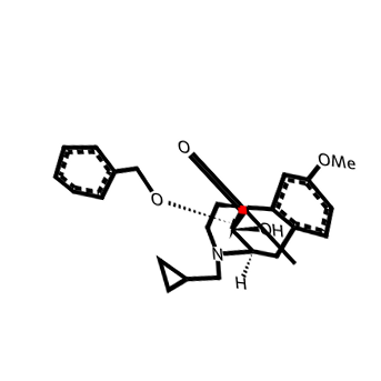 COc1ccc2c(c1)[C@]13CCN(CC4CC4)[C@H](C2)[C@]1(O)C[C@H](OCc1ccccc1)C(=O)C3